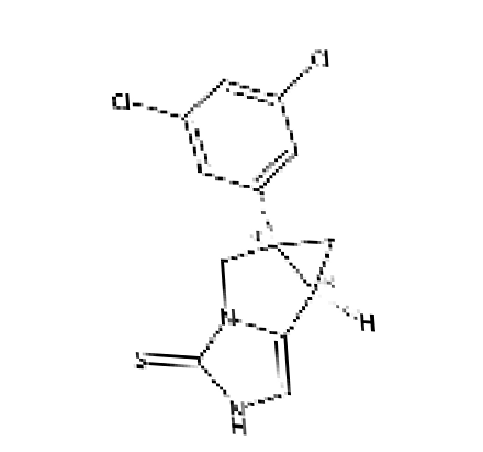 S=c1[nH]cc2n1C[C@@]1(c3cc(Cl)cc(Cl)c3)C[C@@H]21